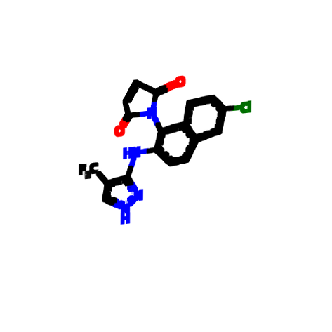 O=C1C=CC(=O)N1c1c(Nc2n[nH]cc2C(F)(F)F)ccc2cc(Cl)ccc12